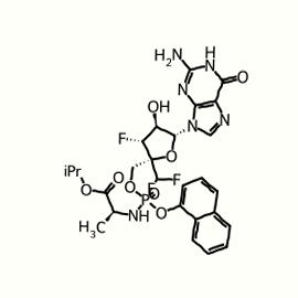 CC(C)OC(=O)[C@H](C)NP(=O)(OC[C@@]1(C(F)F)O[C@@H](n2cnc3c(=O)[nH]c(N)nc32)[C@H](O)[C@H]1F)Oc1cccc2ccccc12